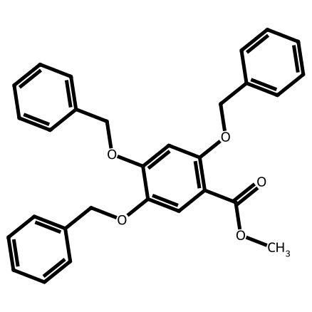 COC(=O)c1cc(OCc2ccccc2)c(OCc2ccccc2)cc1OCc1ccccc1